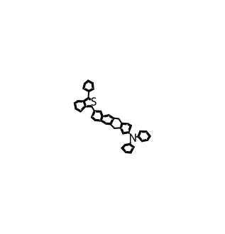 c1ccc(-c2sc(-c3ccc4cc5c(cc4c3)Cc3ccc(N(c4ccccc4)c4ccccc4)cc3C5)c3ccccc23)cc1